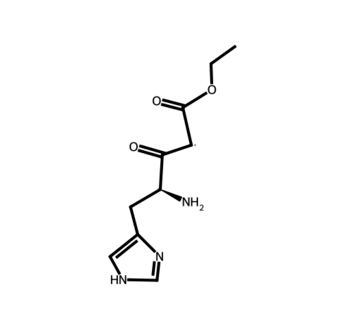 CCOC(=O)[CH]C(=O)[C@@H](N)Cc1c[nH]cn1